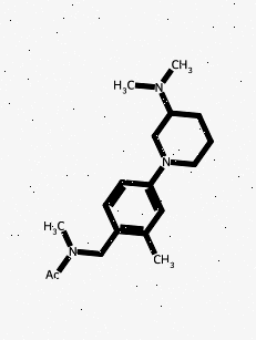 CC(=O)N(C)Cc1ccc(N2CCCC(N(C)C)C2)cc1C